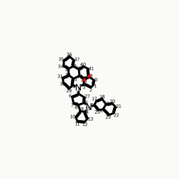 c1ccc(N(c2ccc3c4ccccc4n(-c4ccc5ccccc5c4)c3c2)c2cccc3c4ccccc4c4ccccc4c23)cc1